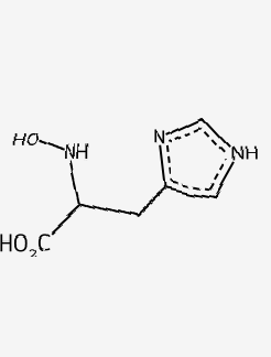 O=C(O)C(Cc1c[nH]cn1)NO